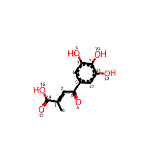 C/C(=C\C(=O)c1cc(O)c(O)c(O)c1)C(=O)O